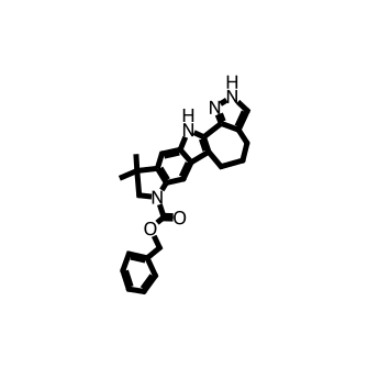 CC1(C)CN(C(=O)OCc2ccccc2)c2cc3c4c([nH]c3cc21)-c1n[nH]cc1CCC4